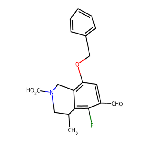 CC1CN(C(=O)O)Cc2c(OCc3ccccc3)cc(C=O)c(F)c21